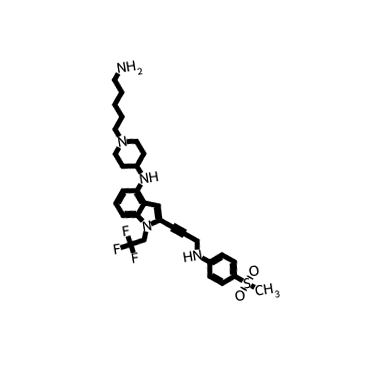 CS(=O)(=O)c1ccc(NCC#Cc2cc3c(NC4CCN(CCCCCN)CC4)cccc3n2CC(F)(F)F)cc1